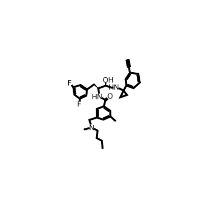 C#Cc1cccc(C2(NC[C@H](O)[C@H](Cc3cc(F)cc(F)c3)NC(=O)c3cc(C)cc(CN(C)CCCC)c3)CC2)c1